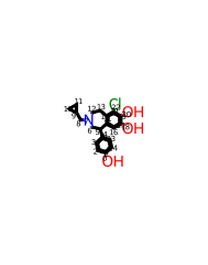 Oc1ccc(C2CN(CC3CC3)CCc3c2cc(O)c(O)c3Cl)cc1